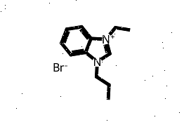 CCCn1c[n+](CC)c2ccccc21.[Br-]